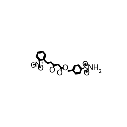 NS(=O)(=O)c1ccc(COC(=O)CC(=O)C=Cc2ccccc2[N+](=O)[O-])cc1